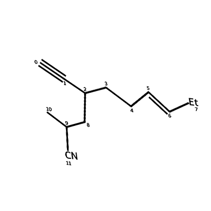 C#CC(CCC=CCC)CC(C)C#N